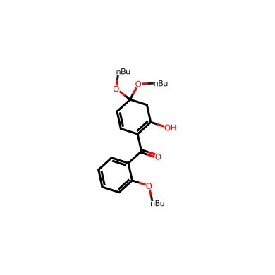 CCCCOc1ccccc1C(=O)C1=C(O)CC(OCCCC)(OCCCC)C=C1